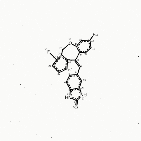 O=c1[nH]c2ccc(/C=C3/c4ccc(F)cc4OCc4c(F)cccc43)cc2[nH]1